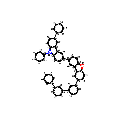 c1ccc(-c2cccc(-c3cccc(-c4ccc5oc6ccc(-c7ccc8c(c7)c7cc(-c9ccccc9)ccc7n8-c7ccccc7)cc6c5c4)c3)c2)cc1